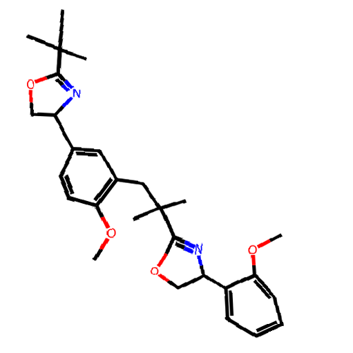 COc1ccc(C2COC(C(C)(C)C)=N2)cc1CC(C)(C)C1=NC(c2ccccc2OC)CO1